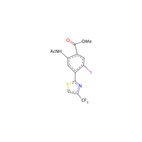 COC(=O)c1cc(I)c(-c2nc(C(F)(F)F)cs2)cc1NC(C)=O